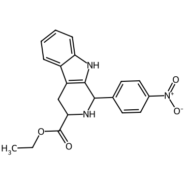 CCOC(=O)C1Cc2c([nH]c3ccccc23)C(c2ccc([N+](=O)[O-])cc2)N1